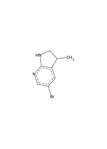 CC1CNc2ncc(Br)cc21